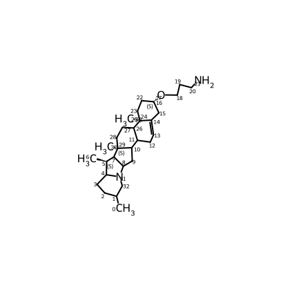 CC1CCC2[C@@H](C)C3C(CC4C5CC=C6C[C@@H](OCCCN)CC[C@]6(C)C5CC[C@@]43C)N2C1